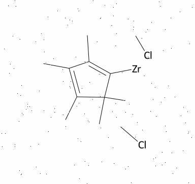 CC1=C(C)C(C)(C)[C]([Zr])=C1C.CCl.CCl